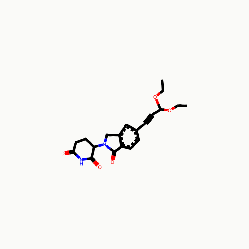 CCOC(C#Cc1ccc2c(c1)CN(C1CCC(=O)NC1=O)C2=O)OCC